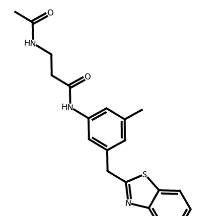 CC(=O)NCCC(=O)Nc1cc(C)cc(Cc2nc3ccccc3s2)c1